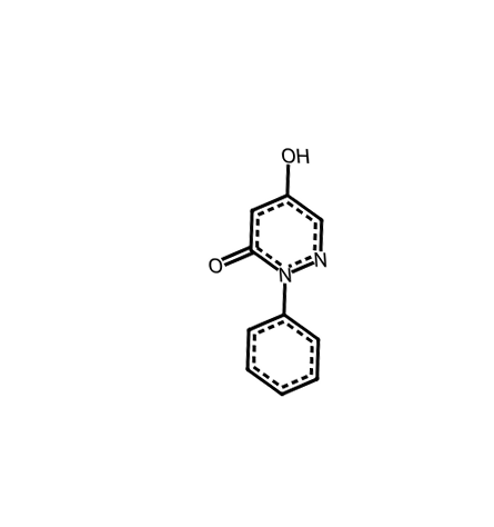 O=c1cc(O)cnn1-c1ccccc1